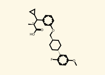 COc1ccc(F)c([C@H]2CC[C@H](COc3cccc(C(C4CC4)[C@H](C)C(=O)O)c3)CC2)c1